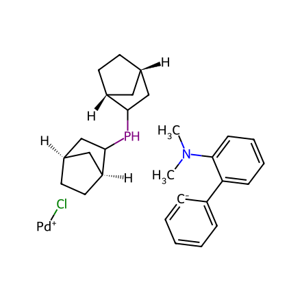 C1C[C@@H]2C[C@H]1CC2PC1C[C@@H]2CC[C@H]1C2.CN(C)c1ccccc1-c1[c-]cccc1.[Cl][Pd+]